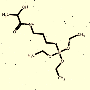 CCO[Si](CCCCNC(=O)C(C)O)(OCC)OCC